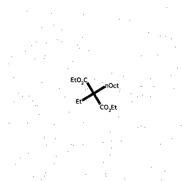 CCCCCCCCC(CC)(C(=O)OCC)C(=O)OCC